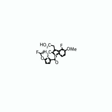 COc1ccc2c(c1F)c(CC(=O)O)c(C)n2C(=O)c1ccc(OC(F)F)s1